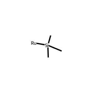 C[Si](C)(C)[Ru]